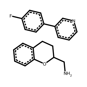 Fc1ccc(-c2cccnc2)cc1.NCC1CCc2ccccc2O1